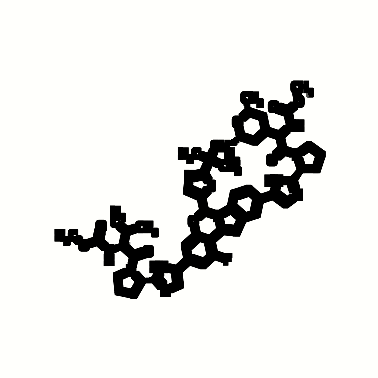 COC(=O)NC(C(=O)N1CCC[C@H]1c1ncc(-c2ccc3c(c2)cc2n3C(c3cnc(C(C)(C)O)s3)Oc3cc(-c4cnc([C@@H]5CCCN5C(=O)[C@@H](NC(=O)OC)C(C)C)[nH]4)cc(F)c3-2)[nH]1)C1C[C@@H](C)O[C@@H](C)C1